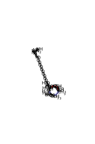 CO[C@H]1C[C@@H]2CC[C@@H](C)[C@@](O)(O2)C(=O)C(=O)N2CCCC[C@H]2C(=O)O[C@H]([C@H](N)C[C@@H]2CC[C@@H](OC(=O)NCCOCCOCCOCCOCCOCCOCCOCCOCCOCCOCCC(=O)N3CCc4cc(Cn5nc(-c6cnc7[nH]ccc7c6)c6c(N)ncnc65)ccc4C3)[C@H](OC)C2)CC(=O)[C@H](C)/C=C(\C)[C@@H](O)[C@@H](O)C(=O)[C@H](C)C[C@H](C)/C=C/C=C/C=C/1C